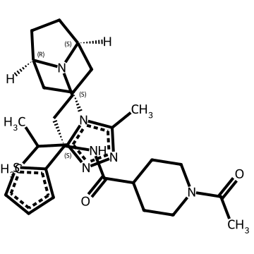 CC(=O)N1CCC(C(=O)N[C@@H](CCN2[C@@H]3CC[C@H]2C[C@H](n2c(C)nnc2C(C)C)C3)c2cccs2)CC1